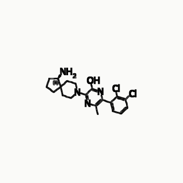 Cc1nc(N2CCC3(CCC[C@H]3N)CC2)c(O)nc1-c1cccc(Cl)c1Cl